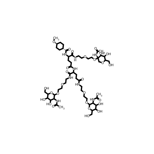 CO[C@H]1CC[C@H](C(=O)NC(CCC(=O)NC(CCC(=O)NCCOCCOC2OC(CO)C(O)C(O)C2NC(C)=O)C(=O)NCCOCCOC2OC(CO)C(O)C(O)C2NC(C)=O)C(=O)NCCOCCOC2(NC(C)=O)COC(CO)C(O)C2O)CC1